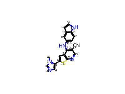 Cn1cncc1-c1cc2c(Nc3ccc4[nH]ccc4c3)c(C#N)cnc2s1